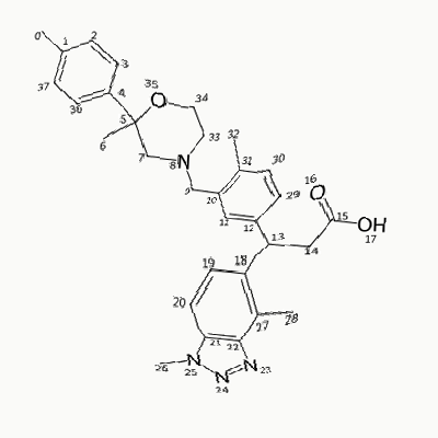 Cc1ccc(C2(C)CN(Cc3cc(C(CC(=O)O)c4ccc5c(nnn5C)c4C)ccc3C)CCO2)cc1